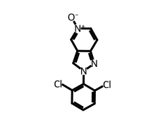 [O-][n+]1ccc2nn(-c3c(Cl)cccc3Cl)cc2c1